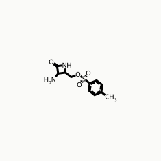 Cc1ccc(S(=O)(=O)OCC2NC(=O)C2N)cc1